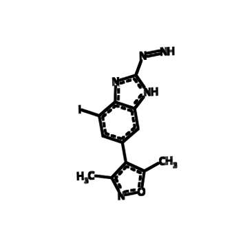 Cc1noc(C)c1-c1cc(I)c2nc(N=N)[nH]c2c1